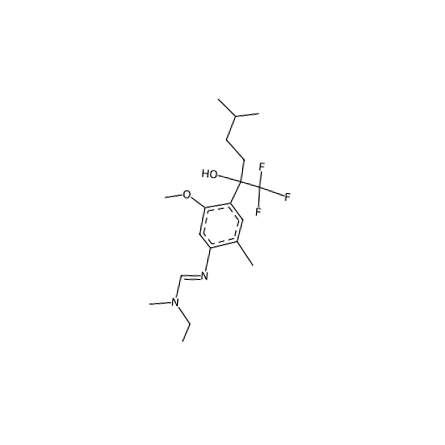 CCN(C)/C=N/c1cc(OC)c(C(O)(CCC(C)C)C(F)(F)F)cc1C